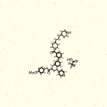 COc1ccc(CC(=O)N(CCc2ccncc2)Cc2cccc(-c3cccc(C(=O)N4CCC(CCCC5CCNCC5)CC4)c3)c2)cc1.O=C(O)C(F)(F)F